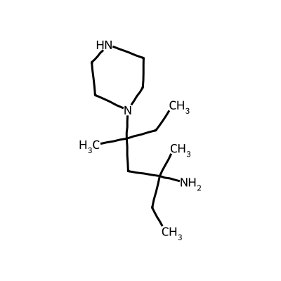 CCC(C)(N)CC(C)(CC)N1CCNCC1